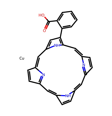 O=C(O)c1ccccc1-c1cc2cc3nc(cc4ccc(cc5nc(cc1[nH]2)C=C5)[nH]4)C=C3.[Cu]